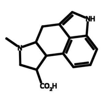 CN1CC(C(=O)O)C2c3cccc4[nH]cc(c34)CC21